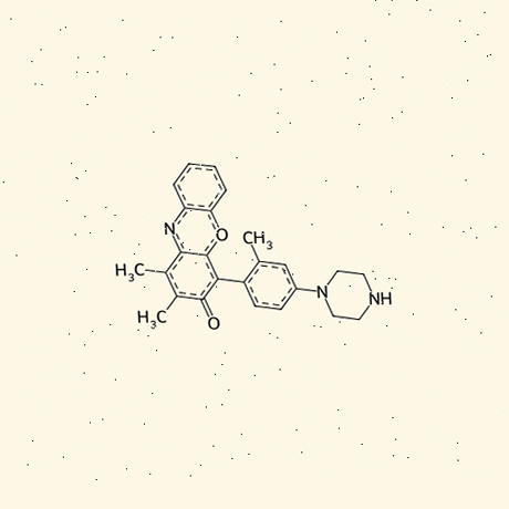 Cc1cc(N2CCNCC2)ccc1-c1c2oc3ccccc3nc-2c(C)c(C)c1=O